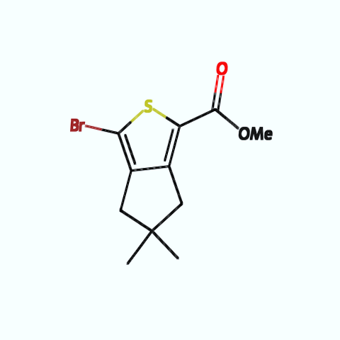 COC(=O)c1sc(Br)c2c1CC(C)(C)C2